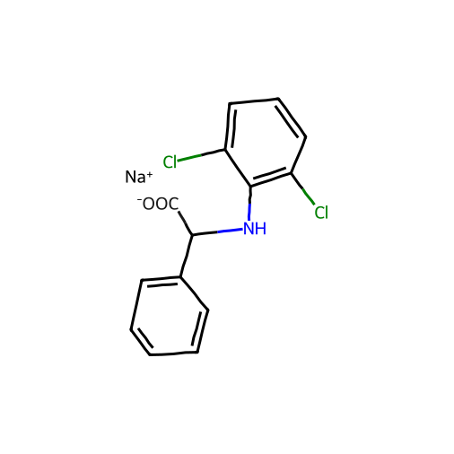 O=C([O-])C(Nc1c(Cl)cccc1Cl)c1ccccc1.[Na+]